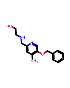 Cc1cc(CNCCO)ncc1OCc1ccccc1